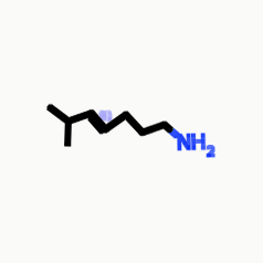 CC(C)/C=C/CCCN